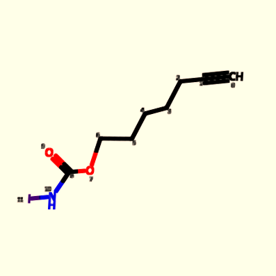 C#CCCCCCOC(=O)NI